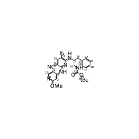 COc1cc(Nc2nc(N[C@@H](CNC(=O)OC(C)(C)C)Cc3ccccc3)c(F)cc2C#N)ccn1